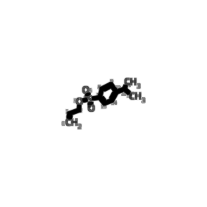 C=CCOS(=O)(=O)c1ccc(C(C)C)cc1